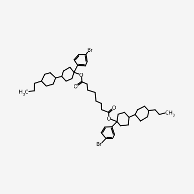 CCCC1CCC(C2CCC(OC(=O)CCCCCCC(=O)OC3(c4ccc(Br)cc4)CCC(C4CCC(CCC)CC4)CC3)(c3ccc(Br)cc3)CC2)CC1